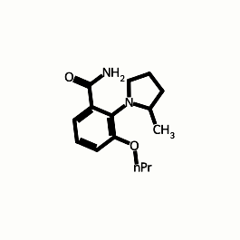 CCCOc1cccc(C(N)=O)c1N1CCCC1C